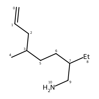 C=CCC(C)CCC(CC)CN